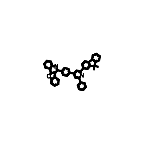 CC1(C)c2ccccc2-c2ccc(-c3cc(-c4ccc(-c5nc6ccccc6c6oc7ccccc7c56)cc4)cc(-c4ccccc4)n3)cc21